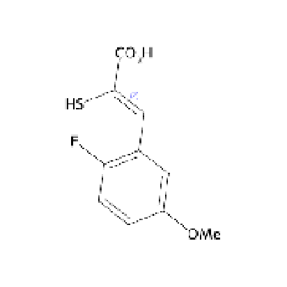 COc1ccc(F)c(/C=C(\S)C(=O)O)c1